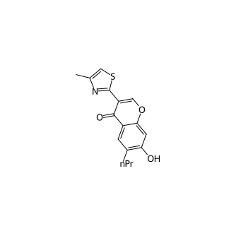 CCCc1cc2c(=O)c(-c3nc(C)cs3)coc2cc1O